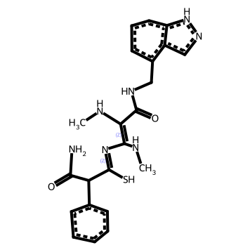 CNC(/N=C(\S)C(C(N)=O)c1ccccc1)=C(/NC)C(=O)NCc1cccc2[nH]ncc12